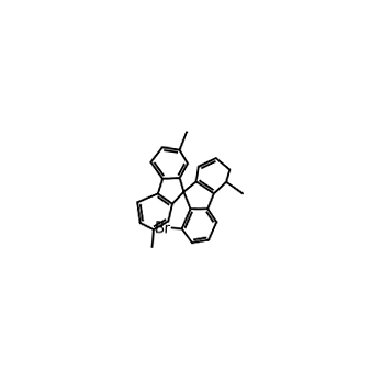 Cc1ccc2c(c1)C1(C3=C(c4cccc(Br)c41)C(C)CC=C3)c1cc(C)ccc1-2